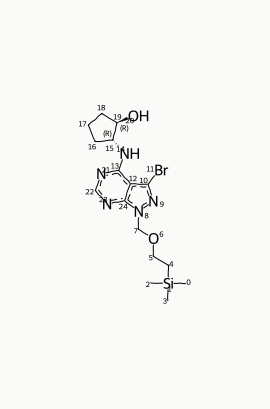 C[Si](C)(C)CCOCn1nc(Br)c2c(N[C@@H]3CCC[C@H]3O)ncnc21